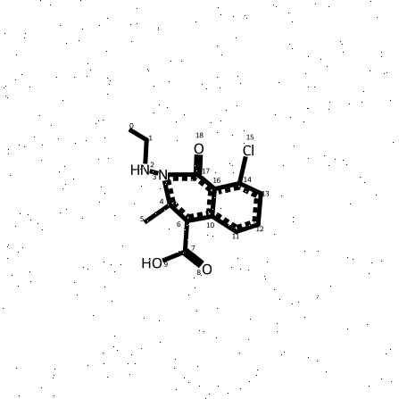 CCNn1c(C)c(C(=O)O)c2cccc(Cl)c2c1=O